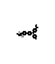 CCC(C)c1ccc(N(c2ccc(C)cc2)c2ccc(-c3ccc4c5sc(C)cc5n(C)c4c3)cc2)cc1